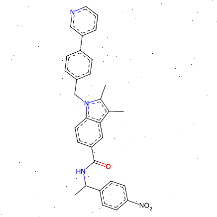 Cc1c(C)n(Cc2ccc(-c3cccnc3)cc2)c2ccc(C(=O)NC(C)c3ccc([N+](=O)[O-])cc3)cc12